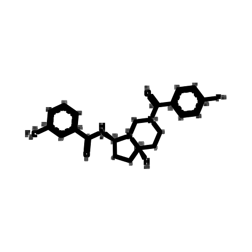 O=C(N[C@@H]1CC[C@H]2CCN(C(=O)c3ccc(F)cc3)CN21)c1cccc(C(F)(F)F)c1